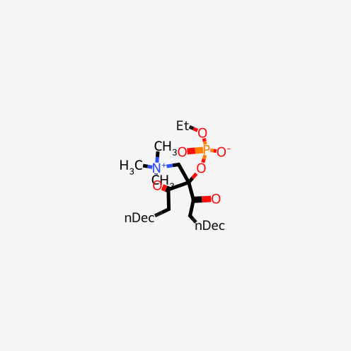 CCCCCCCCCCCC(=O)C(C[N+](C)(C)C)(OP(=O)([O-])OCC)C(=O)CCCCCCCCCCC